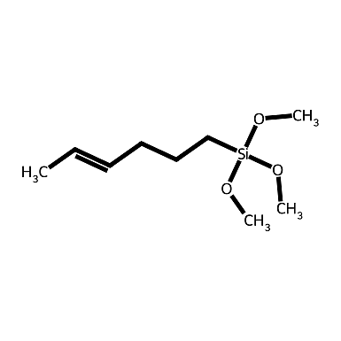 CC=CCCC[Si](OC)(OC)OC